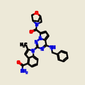 Cc1cc2c(C(N)=O)cccc2n1-c1nc(NCc2ccccc2)c2ccc(C(=O)N3CC4CC3CO4)n2n1